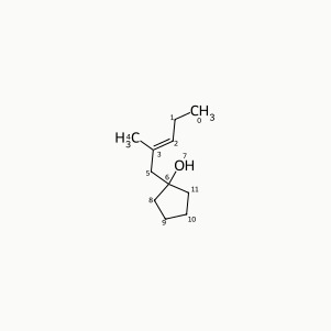 CCC=C(C)CC1(O)CCCC1